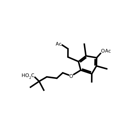 CC(=O)CCc1c(C)c(OC(C)=O)c(C)c(C)c1OCCCC(C)(C)C(=O)O